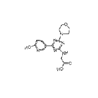 O=C(O)CNc1nc(-c2ccc(O)nc2)nc(N2CCOCC2)n1